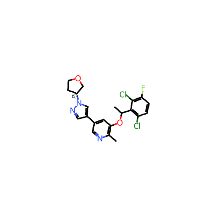 Cc1ncc(-c2cnn([C@H]3CCOC3)c2)cc1OC(C)c1c(Cl)ccc(F)c1Cl